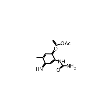 C=COC(C)=O.CC1=CC(=O)C(NC(N)=O)=CC1=N